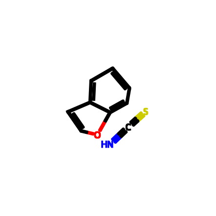 N=C=S.c1ccc2occc2c1